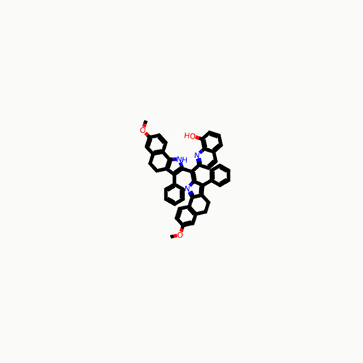 COc1ccc2c(c1)CCC1=C(c3ccccc3)/C(=C(\c3ccc4cccc(O)c4n3)c3[nH]c4c(c3-c3ccccc3)CCc3cc(OC)ccc3-4)N=C12